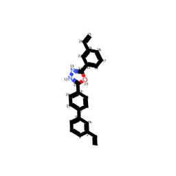 C=Cc1cccc(-c2ccc(-c3nnc(-c4cccc(C=C)c4)o3)cc2)c1